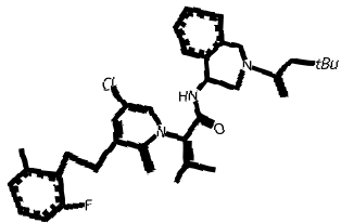 C=C(CC(C)(C)C)N1Cc2ccccc2C(NC(=O)C(=C(C)C)N2C=C(Cl)C=C(CCc3c(C)cccc3F)C2=C)C1